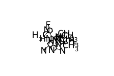 Cc1nc(F)ccc1C(Nc1cc(C#N)c2ncc(C#N)c(NCC(C)(C)C)c2c1)c1cn(C(C)(C)C)nn1